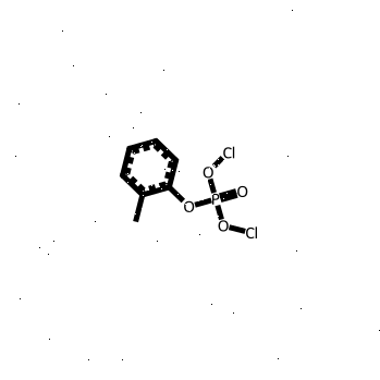 Cc1ccccc1OP(=O)(OCl)OCl